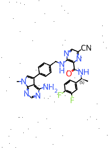 C[C@H](NC(=O)c1nc(C#N)cnc1NCc1ccc(-c2cn(C)c3ncnc(N)c23)cc1)c1ccc(F)c(F)c1